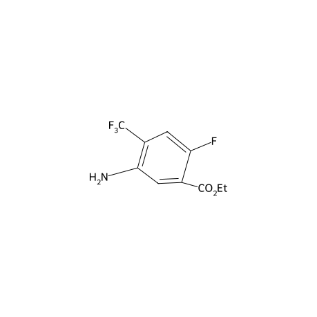 CCOC(=O)c1cc(N)c(C(F)(F)F)cc1F